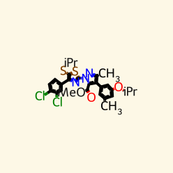 COC(=O)c1c(-c2cc(C)cc(OC(C)C)c2)c(C)nn1-c1nc(-c2ccc(Cl)c(Cl)c2)c(SC(C)C)s1